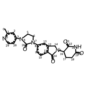 Cc1cc(N2CCN(c3ccc4c(c3)CN(C3CCC(=O)NC3=O)C4=O)C2=O)ccn1